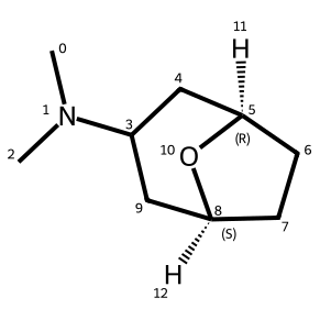 CN(C)C1C[C@H]2CC[C@@H](C1)O2